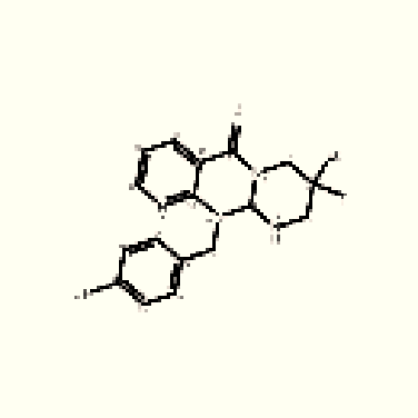 CCC1(C)CNC2N(C1)C(=O)c1cccnc1N2Cc1ccc(F)cc1